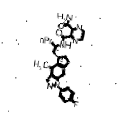 CCCC(C[C@H]1CCC2=C1[C@@H](C)c1cnn(-c3ccc(F)cc3)c1C2)NC(=O)c1nccnc1C(N)=O